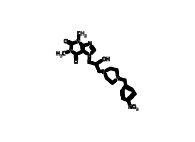 Cn1c(=O)c2c(ncn2CC(O)CN2CCN(Cc3ccc([N+](=O)[O-])cc3)CC2)n(C)c1=O